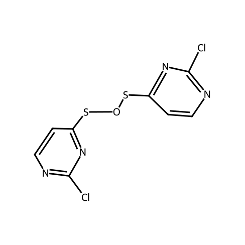 Clc1nccc(SOSc2ccnc(Cl)n2)n1